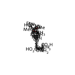 CC[C@]1(O)C[C@H]2CN(CCc3c([nH]c4ccccc34)[C@@](C(=O)OC)(c3cc4c(cc3OC)N(C)[C@H]3[C@@](O)(C(=O)NNC(=O)OCCSSC[C@H](NC(=O)[C@H](CN)NC(=O)[C@@H](C)CC(=O)O)C(=O)O)[C@H](O)[C@]5(CC)C=CCN6CC[C@]43[C@@H]65)C2)C1